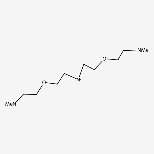 CNCCOCC[N]CCOCCNC